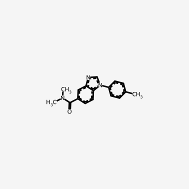 Cc1ccc(-n2cnc3cc(C(=O)N(C)C)ccc32)cc1